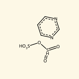 O=[SH](=O)OS(=O)(=O)O.c1cncnc1